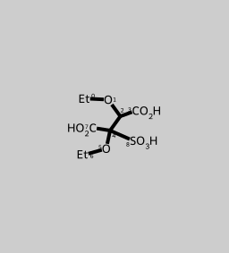 CCOC(C(=O)O)C(OCC)(C(=O)O)S(=O)(=O)O